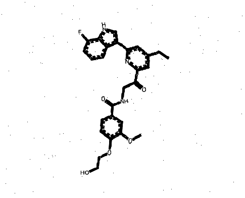 CCc1cc(C(=O)CNC(=O)c2ccc(OCCO)c(OC)c2)nc(-c2c[nH]c3c(F)cccc23)c1